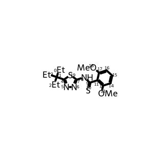 CCC(CC)(CC)c1nnc(NC(=S)c2c(OC)cccc2OC)s1